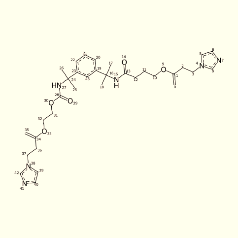 C=C(CCn1ccnc1)OCCCC(=O)NC(C)(C)c1cccc(C(C)(C)NC(=O)OCCOC(=C)CCn2ccnc2)c1